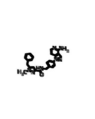 Cn1nc(C(=O)NCc2ccc(-n3ncc4c(N)nccc43)cc2)cc1Cc1ccccc1